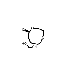 CCO.O=C1CCCCCCCO1